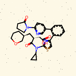 O=C(O)C[C@@H](C[C@@H]1CCCOC1)C(=O)N(c1nc(-c2ccccc2-c2ccc(N3CCCC3=O)nc2)cs1)C1CC1